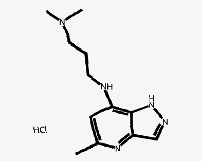 Cc1cc(NCCCN(C)C)c2[nH]ncc2n1.Cl